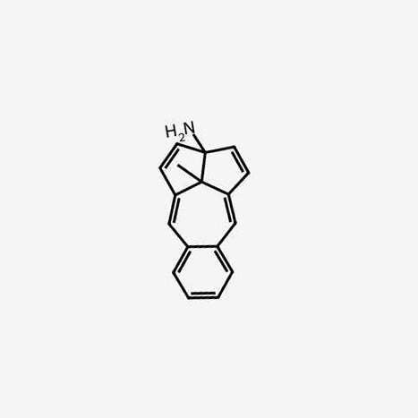 CC12C3=Cc4ccccc4C=C1C=CC2(N)C=C3